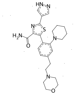 NC(=O)c1nc(-c2cn[nH]c2)sc1-c1ccc(CCN2CCOCC2)cc1N1CCCCC1